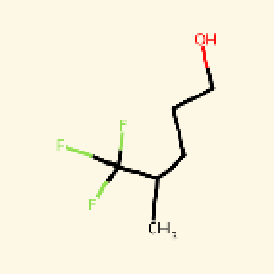 CC(CCCO)C(F)(F)F